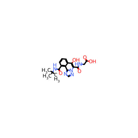 CC(C)(C)NC(=O)c1cccc2c(O)c(C(=O)NCC(=O)O)n3ncnc3c12